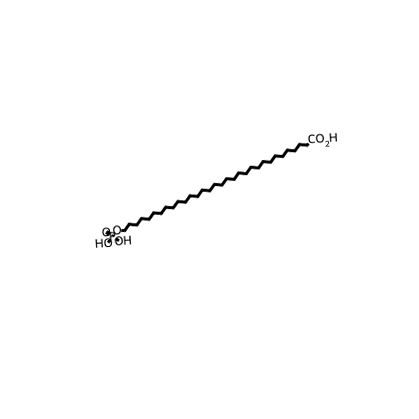 O=C(O)CCCCCCCCCCCCCCCCCCCCCCCCCCCCCCCOP(=O)(O)O